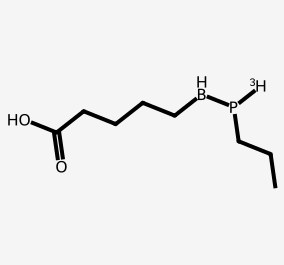 [3H]P(BCCCCC(=O)O)CCC